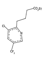 CCOC(=O)CCCc1ncc(C(F)(F)F)cc1Cl